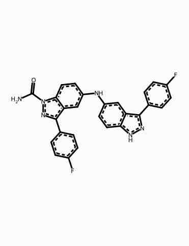 NC(=O)n1nc(-c2ccc(F)cc2)c2cc(Nc3ccc4[nH]nc(-c5ccc(F)cc5)c4c3)ccc21